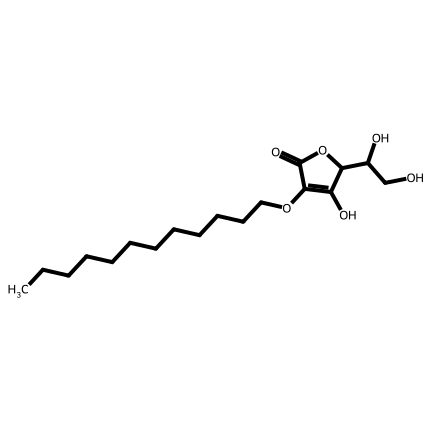 CCCCCCCCCCCCOC1=C(O)C(C(O)CO)OC1=O